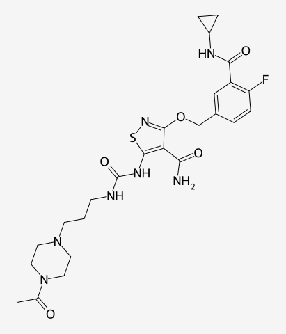 CC(=O)N1CCN(CCCNC(=O)Nc2snc(OCc3ccc(F)c(C(=O)NC4CC4)c3)c2C(N)=O)CC1